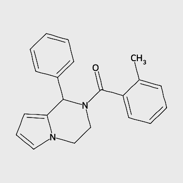 Cc1ccccc1C(=O)N1CCn2cccc2C1c1ccccc1